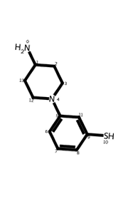 NC1CCN(c2cccc(S)c2)CC1